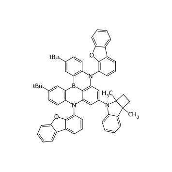 CC(C)(C)c1ccc2c(c1)B1c3cc(C(C)(C)C)ccc3N(c3cccc4c3oc3ccccc34)c3cc(N4c5ccccc5C5(C)CCC45C)cc(c31)N2c1cccc2c1oc1ccccc12